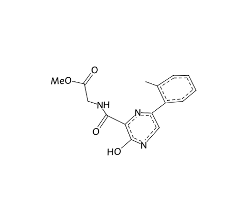 COC(=O)CNC(=O)c1nc(-c2ccccc2C)cnc1O